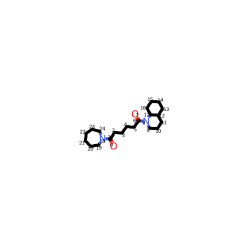 O=C(CCCCC(=O)N1CCCC2CCCCC21)N1CCCCCC1